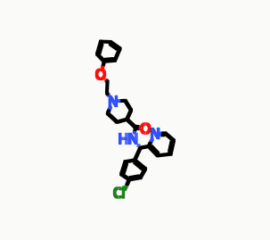 O=C(N[C@@H](c1ccc(Cl)cc1)c1ccccn1)C1CCN(CCOc2ccccc2)CC1